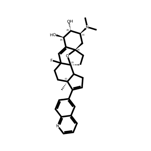 CN(C)[C@H]1C[C@@]23CC[C@]4(O2)C2CC=C(c5ccc6ncccc6c5)[C@@]2(C)CCC4(F)C=C3[C@@H](O)[C@@H]1O